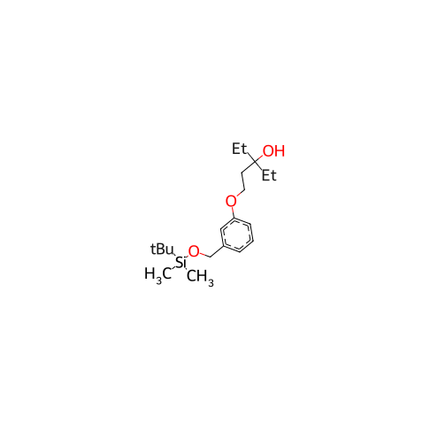 CCC(O)(CC)CCOc1cccc(CO[Si](C)(C)C(C)(C)C)c1